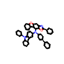 c1ccc(-c2ccc(N(c3ccc4c(c3)c3ccccc3n4-c3ccccc3)c3c4oc(-c5ccccc5)nc4cc4oc5ccccc5c34)cc2)cc1